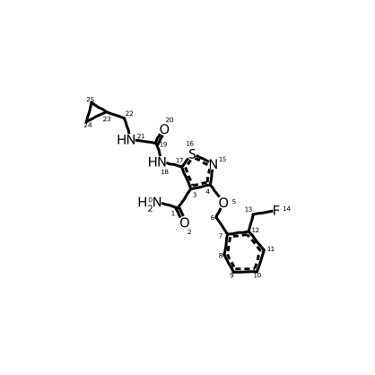 NC(=O)c1c(OCc2ccccc2CF)nsc1NC(=O)NCC1CC1